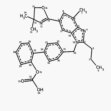 CCCc1nc2c(C)cc(C3=NC(C)(C)CO3)cc2n1Cc1ccc(-c2ccccc2OC(=O)O)cc1